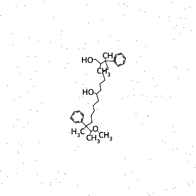 COC(C)C(C)(CCCCCC(O)CCCCCC(C)(c1ccccc1)C(C)CO)c1ccccc1